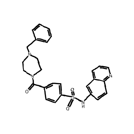 O=C(c1ccc(S(=O)(=O)Nc2ccc3ncccc3c2)cc1)N1CCN(Cc2ccccc2)CC1